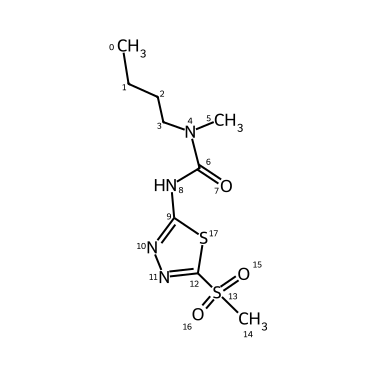 CCCCN(C)C(=O)Nc1nnc(S(C)(=O)=O)s1